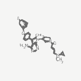 Cc1c(-c2ccc(Oc3cccc(F)c3)cc2)c2c(N)ncnc2n1C1CCN(C(=O)/C=C/CN(C)C2CC2)C1